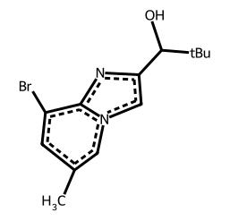 Cc1cc(Br)c2nc(C(O)C(C)(C)C)cn2c1